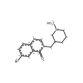 O=C(O)N1CCCC(Cn2cnc3ccc(Br)cc3c2=O)C1